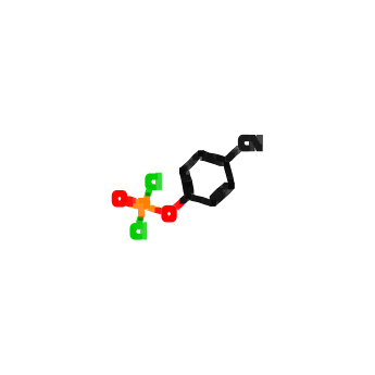 N#Cc1ccc(OP(=O)(Cl)Cl)cc1